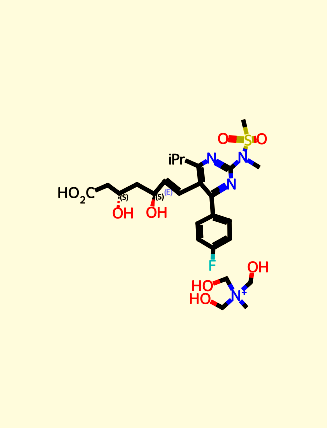 CC(C)c1nc(N(C)S(C)(=O)=O)nc(-c2ccc(F)cc2)c1/C=C/[C@@H](O)C[C@H](O)CC(=O)O.C[N+](CO)(CO)CO